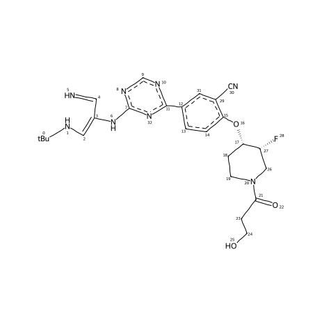 CC(C)(C)N/C=C(\C=N)Nc1ncnc(-c2ccc(O[C@H]3CCN(C(=O)CCO)C[C@H]3F)c(C#N)c2)n1